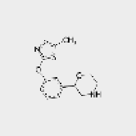 Cc1cnc(Oc2cccc([C@@H]3CNCCO3)c2)s1